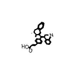 CC/C(=C(\C1=Cc2ccccc2C[C@@H](C)C1C)c1ccc(/C=C/C(=O)O)cc1)c1ccccc1C#N